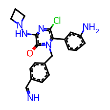 N=Cc1ccc(Cn2c(-c3cccc(N)c3)c(Cl)nc(NN3CCC3)c2=O)cc1